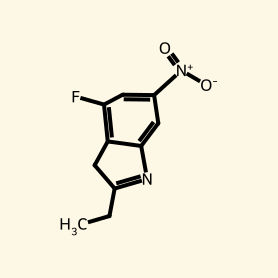 CCC1=Nc2cc([N+](=O)[O-])cc(F)c2C1